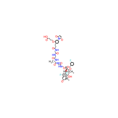 C[C@H](NC(=O)CNC(=O)CNC(=O)CCc1ccc(N2C(=O)C=CC2=O)cc1OCCCC(=O)O)C(=O)NCC(=O)NCOCC(=O)[C@@]12O[C@H](c3cccc(F)c3)O[C@@H]1C[C@H]1[C@@H]3C[C@H](F)C4=CC(=O)C=C[C@]4(C)[C@@]3(F)[C@@H](O)C[C@@]12C